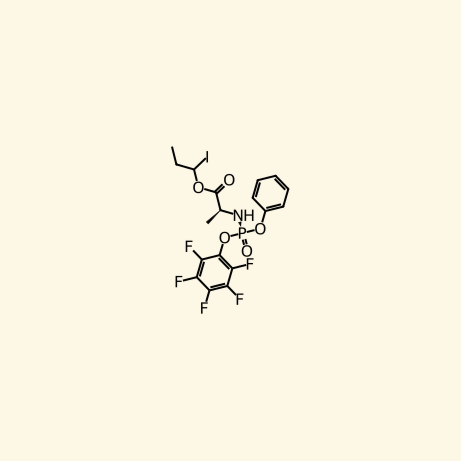 CCC(I)OC(=O)[C@H](C)N[P@](=O)(Oc1ccccc1)Oc1c(F)c(F)c(F)c(F)c1F